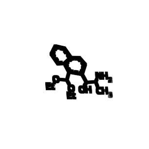 CCOC(OCC)c1c(C(O)C(C)N)ccc2ccccc12